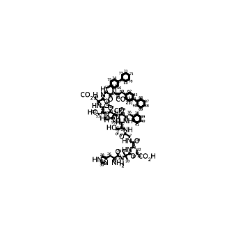 C[C@@H](O)[C@H](NC(=O)CNC(=O)[C@H](CCC(=O)O)NC(=O)C(C)(C)NC(=O)[C@@H](N)Cc1c[nH]cn1)C(=O)N[C@@H](Cc1ccccc1)C(=O)N[C@](C(=O)N[C@@H](CO)C(=O)N[C@@H](CC(=O)O)C(=O)N[C@@H](Cc1ccc(-c2ccccc2)cc1)C(=O)N[C@@H](Cc1ccc(-c2ccccc2)cc1)C(=O)O)([C@@H](C)O)C(F)(F)F